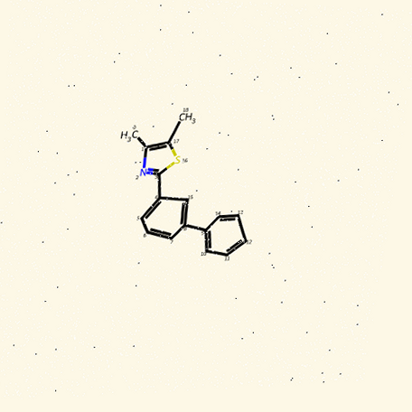 Cc1nc(-c2cccc(-c3ccccc3)c2)sc1C